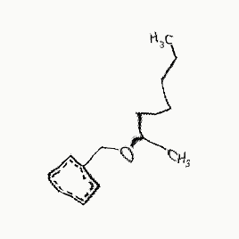 CCCCCC(C)OCc1ccccc1